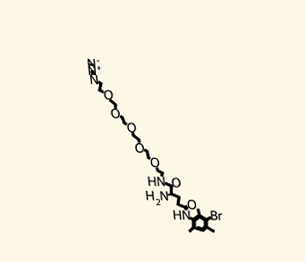 Cc1cc(C)c(NC(=O)CC[C@@H](N)C(=O)NCCOCCOCCOCCOCCOCCN=[N+]=[N-])c(C)c1Br